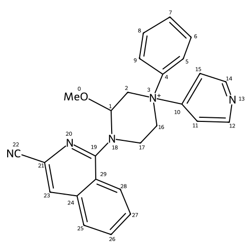 COC1C[N+](c2ccccc2)(c2ccncc2)CCN1c1nc(C#N)cc2ccccc12